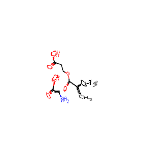 C=C(C)C(=O)OCCC(=O)O.NCC(=O)O